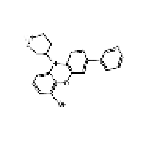 Oc1cccc2c1Oc1cc(-c3cccnc3)ccc1N2C1CCNCC1